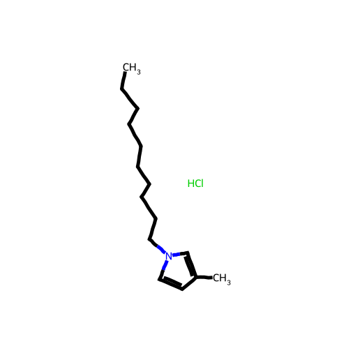 CCCCCCCCCCn1ccc(C)c1.Cl